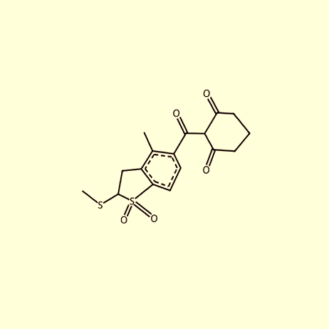 CSC1Cc2c(ccc(C(=O)C3C(=O)CCCC3=O)c2C)S1(=O)=O